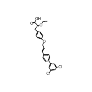 CCO[C@@H](Cc1ccc(OCC=Cc2ccc(-c3cc(Cl)cc(Cl)c3)cc2)cc1)C(=O)O